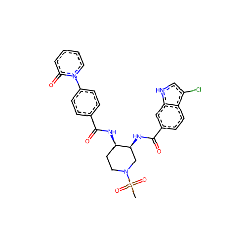 CS(=O)(=O)N1CC[C@@H](NC(=O)c2ccc(-n3ccccc3=O)cc2)[C@@H](NC(=O)c2ccc3c(Cl)c[nH]c3c2)C1